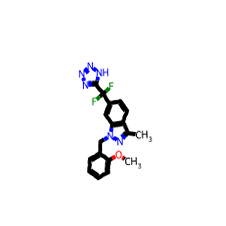 COc1ccccc1Cn1nc(C)c2ccc(C(F)(F)c3nnn[nH]3)cc21